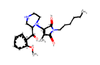 CCCCCCN1C(=O)C(C)=C(N2CCNCC2C(=O)c2ccccc2OC)C1=O